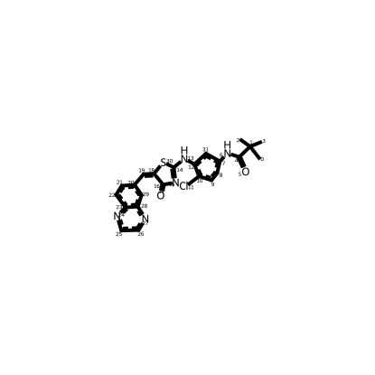 CC(C)(C)C(=O)Nc1ccc(Cl)c(NC2=NC(=O)C(=Cc3ccc4nccnc4c3)S2)c1